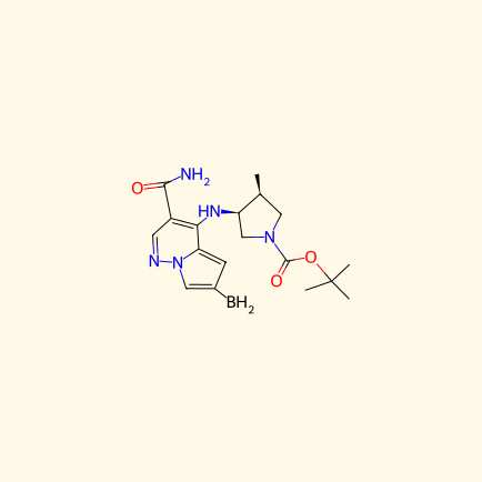 Bc1cc2c(N[C@@H]3CN(C(=O)OC(C)(C)C)C[C@@H]3C)c(C(N)=O)cnn2c1